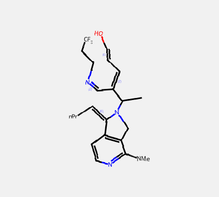 CCC/C=C1\c2ccnc(NC)c2CN1C(C)C(/C=N\CCC(F)(F)F)=C/C=C/O